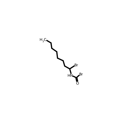 CCCCCCCC(Br)NC(=O)Br